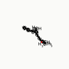 CC(C)(C)c1ccc(C=NOCCCOc2ccc(C(=O)O)c(NC(=O)C=Cc3ccc(-c4ccccc4)cc3)c2)cc1